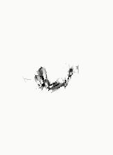 CC(C)(C)OC(=O)N1Cc2cc3c(cc2C[C@H]1C(=O)O)OC[C@H](c1cccc(OCc2ccc(Cl)c(Cl)c2)c1)O3